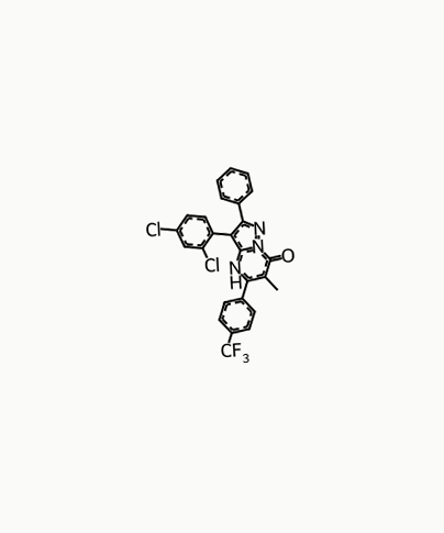 Cc1c(-c2ccc(C(F)(F)F)cc2)[nH]c2c(-c3ccc(Cl)cc3Cl)c(-c3ccccc3)nn2c1=O